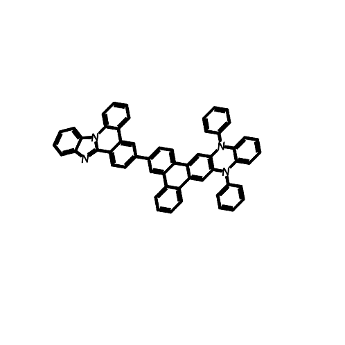 c1ccc(N2c3ccccc3N(c3ccccc3)c3cc4c5ccc(-c6ccc7c(c6)c6ccccc6n6c8ccccc8nc76)cc5c5ccccc5c4cc32)cc1